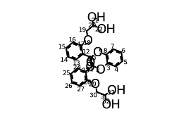 O=C(Oc1ccccc1OC(=O)c1ccccc1OCC(O)O)c1ccccc1OCC(O)O